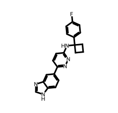 Fc1ccc(C2(Nc3ccc(-c4ccc5[nH]cnc5c4)nn3)CCC2)cc1